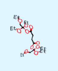 CCOCC(OCC)(OCC)OC(=O)CCC(=O)OC(COCC)(OCC)OCC